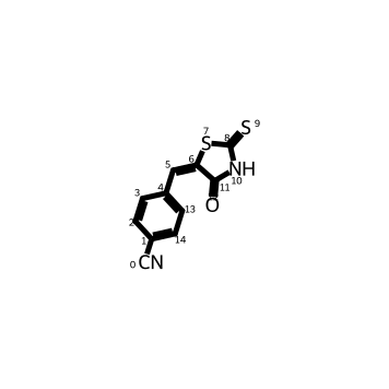 N#Cc1ccc(C=C2SC(=S)NC2=O)cc1